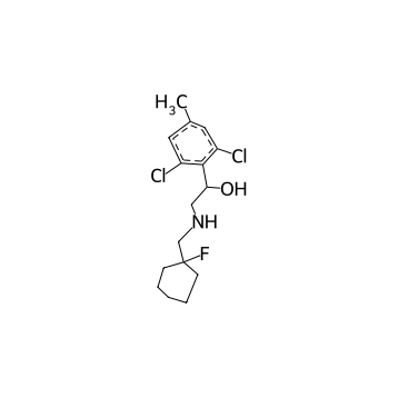 Cc1cc(Cl)c(C(O)CNCC2(F)CCCCC2)c(Cl)c1